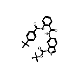 CC(C)(C)OC(=O)n1ncc2ccc(NC(=O)c3ccccc3NC(=O)c3ccc(C(C)(C)C)cc3)cc21